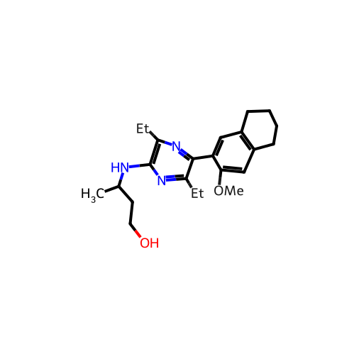 CCc1nc(-c2cc3c(cc2OC)CCCC3)c(CC)nc1NC(C)CCO